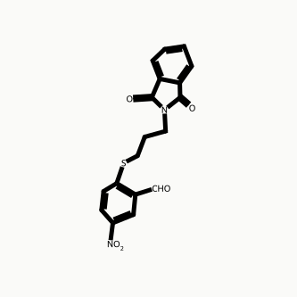 O=Cc1cc([N+](=O)[O-])ccc1SCCCN1C(=O)c2ccccc2C1=O